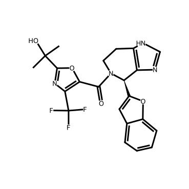 CC(C)(O)c1nc(C(F)(F)F)c(C(=O)N2CCc3[nH]cnc3[C@H]2c2cc3ccccc3o2)o1